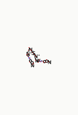 CC(CCC[n+]1ccc(/C=C/c2ccc3cc(N(C)C)ccc3c2)cc1)N(C)CCSSCC[N+](C)(C)CCC[n+]1ccc(/C=C/c2ccc3cc(N(C)C)ccc3c2)cc1